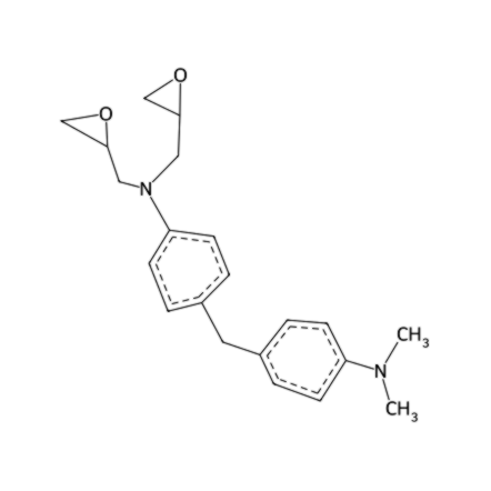 CN(C)c1ccc(Cc2ccc(N(CC3CO3)CC3CO3)cc2)cc1